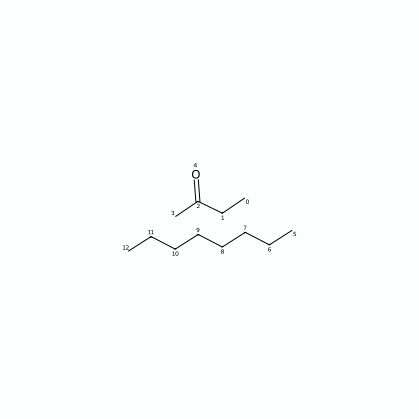 CCC(C)=O.CCCCCCCC